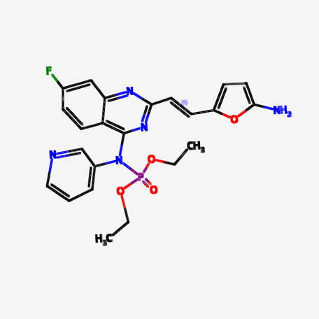 CCOP(=O)(OCC)N(c1cccnc1)c1nc(/C=C/c2ccc(N)o2)nc2cc(F)ccc12